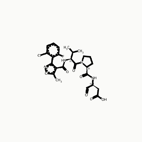 Cc1onc(-c2c(F)cccc2Cl)c1C(=O)N[C@H](C(=O)N1CCC[C@H]1C(=O)N[C@H](C=O)CC(=O)O)C(C)C